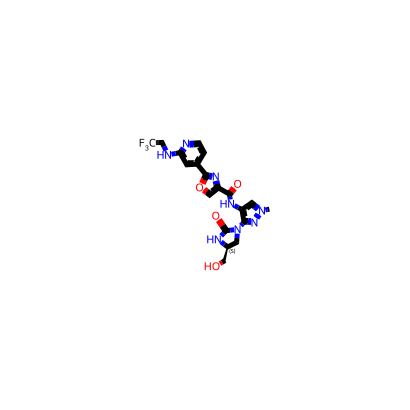 Cn1cc(NC(=O)c2coc(-c3ccnc(NCC(F)(F)F)c3)n2)c(N2C[C@@H](CO)NC2=O)n1